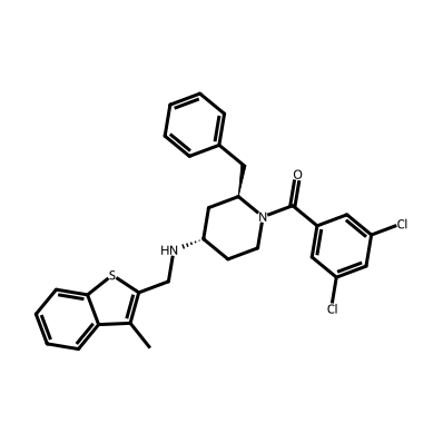 Cc1c(CN[C@H]2CCN(C(=O)c3cc(Cl)cc(Cl)c3)[C@H](Cc3ccccc3)C2)sc2ccccc12